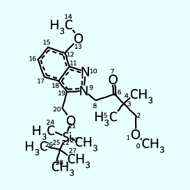 COCC(C)(C)C(=O)Cn1nc2c(OC)cccc2c1CO[Si](C)(C)C(C)(C)C